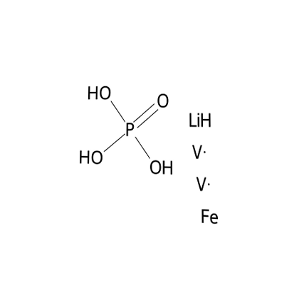 O=P(O)(O)O.[Fe].[LiH].[V].[V]